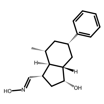 C[C@@H]1C[C@H](c2ccccc2)C[C@H]2[C@H]1[C@@H](/C=N/O)C[C@H]2O